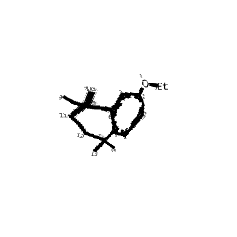 CCOc1ccc2c(c1)C(C)(C)CCC2(C)C